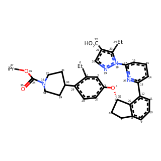 CCc1cc(O[C@H]2CCc3cccc(-c4cccc(-n5ncc(C(=O)O)c5CC)n4)c32)ccc1C1CCN(C(=O)OC(C)C)CC1